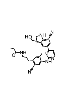 CCC(=O)NCCCc1cc(C)c(Nc2nccc(-c3cc(C#N)c4c(c3)[C@@](C)(CO)CN4)n2)cc1C#N